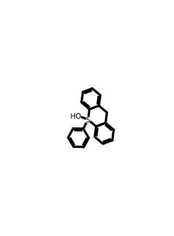 OS1(c2ccccc2)c2ccccc2Cc2ccccc21